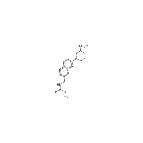 CCOC(=O)C1CCCN(c2ccc3cnc(CNC(=O)OC(C)(C)C)cc3n2)C1